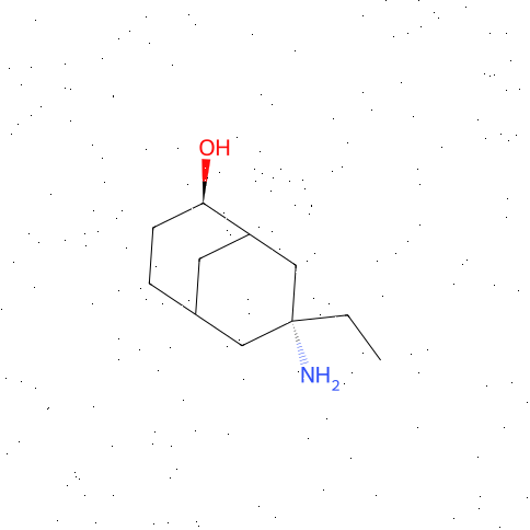 CC[C@@]1(N)CC2CC[C@@H](O)C(C2)C1